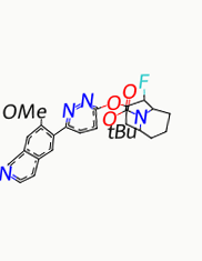 COc1cc2cnccc2cc1-c1ccc(OC2CC3CCCC(C2F)N3C(=O)OC(C)(C)C)nn1